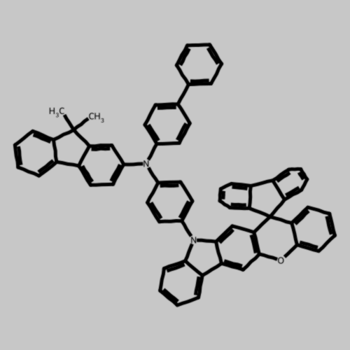 CC1(C)c2ccccc2-c2ccc(N(c3ccc(-c4ccccc4)cc3)c3ccc(-n4c5ccccc5c5cc6c(cc54)C4(c5ccccc5O6)c5ccccc5-c5ccccc54)cc3)cc21